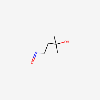 CC(C)(O)CCN=O